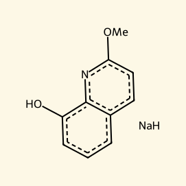 COc1ccc2cccc(O)c2n1.[NaH]